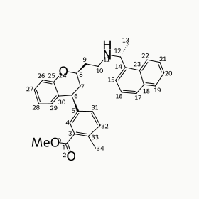 COC(=O)c1cc([C@@H]2C[C@H](CCN[C@H](C)c3cccc4ccccc34)Oc3ccccc32)ccc1C